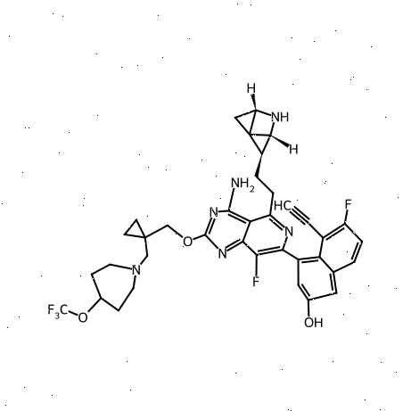 C#Cc1c(F)ccc2cc(O)cc(-c3nc(CC[C@@H]4[C@H]5N[C@H]6CC645)c4c(N)nc(OCC5(CN6CCC(OC(F)(F)F)CC6)CC5)nc4c3F)c12